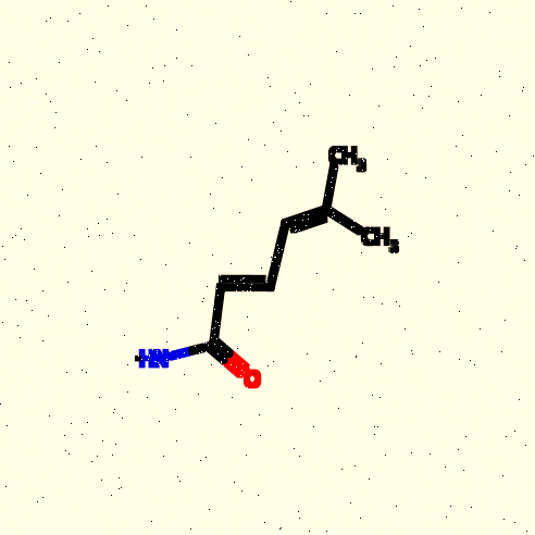 CC(C)=C/C=C/C([NH])=O